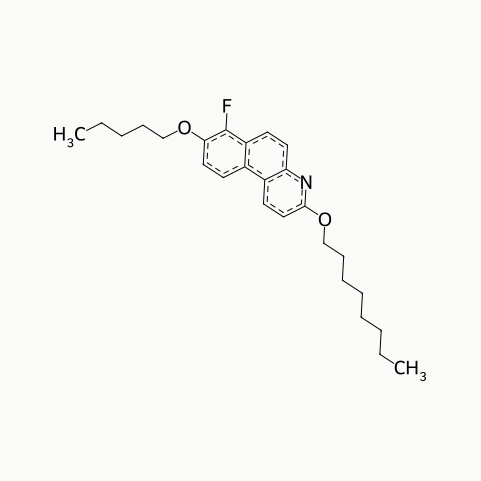 CCCCCCCCOc1ccc2c(ccc3c(F)c(OCCCCC)ccc32)n1